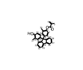 C=C(C)C(=O)Oc1ccc(C2(c3ccc(O)c(C)c3)c3ccccc3-c3ccccc32)cc1C